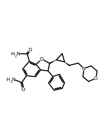 NC(=O)c1cc(C(N)=O)c2c(c1)C(c1ccccc1)C([C@H]1C[C@H]1CCN1CCOCC1)O2